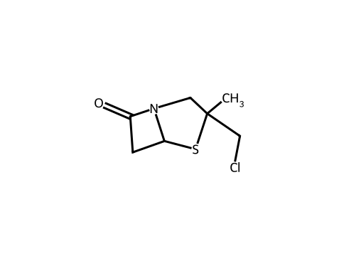 CC1(CCl)CN2C(=O)CC2S1